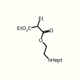 CCCCCCCCCOC(=O)C(CC)C(=O)OCC